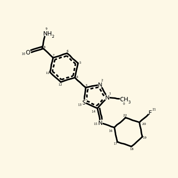 Cn1nc(-c2ccc(C(N)=O)cc2)s/c1=N/C1CCCC(F)C1